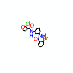 O=C(Nc1cccc(NC(=O)c2ccoc2Cl)c1)c1ccccc1Br